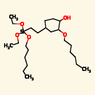 CCCCCCOC1CC(CC[Si](OCC)(OCC)OCCCCCC)CCC1O